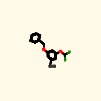 O=Cc1cc(OCc2ccccc2)cc(OC(F)F)c1